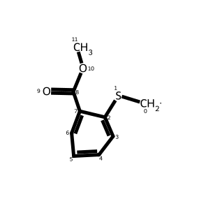 [CH2]Sc1ccccc1C(=O)OC